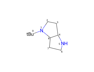 CC(C)(C)N1CCC2NCCC21